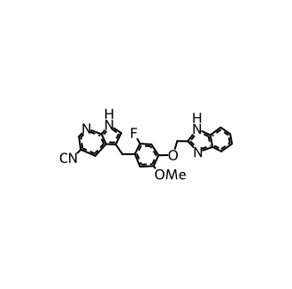 [C-]#[N+]c1cnc2[nH]cc(Cc3cc(OC)c(OCc4nc5ccccc5[nH]4)cc3F)c2c1